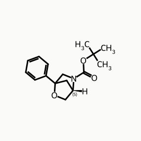 CC(C)(C)OC(=O)N1CC2(c3ccccc3)C[C@H]1CO2